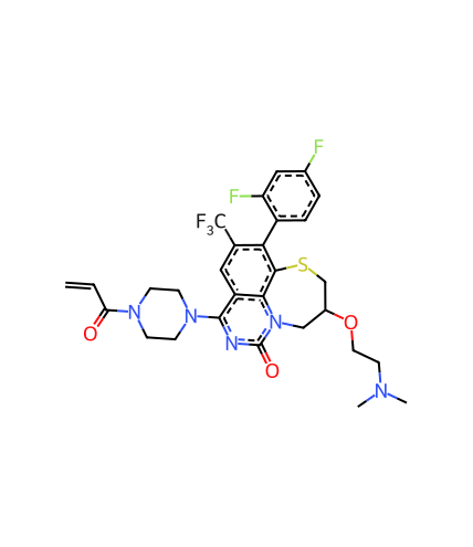 C=CC(=O)N1CCN(c2nc(=O)n3c4c(c(-c5ccc(F)cc5F)c(C(F)(F)F)cc24)SCC(OCCN(C)C)C3)CC1